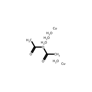 CC(=O)OC(C)=O.O.O.O.O.[Cu].[Cu]